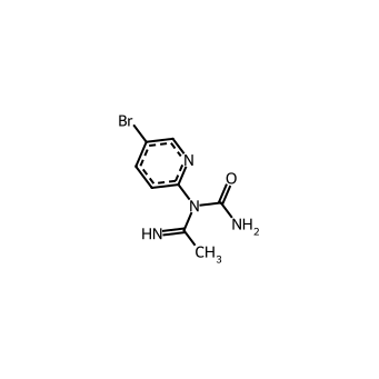 CC(=N)N(C(N)=O)c1ccc(Br)cn1